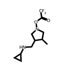 CC1CN(OC(=O)C(F)(F)F)CC1CNC1CC1